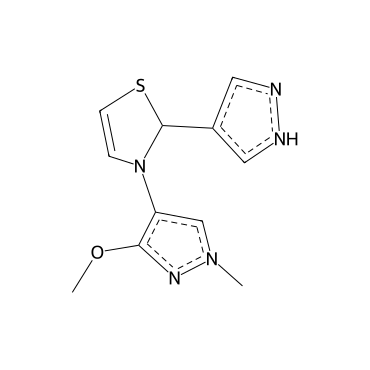 COc1nn(C)cc1N1C=CSC1c1cn[nH]c1